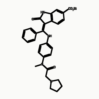 CCOC(=O)c1ccc2c(c1)NC(=O)C2=C(Nc1ccc(N(C)C(=O)CN2CCCC2)cc1)c1ccccc1